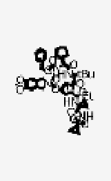 CC[C@H]1C[C@@]1(NC(=O)C1C[C@@H](OC(=O)N2Cc3cc4c(cc3C2)OCO4)CN1C(=O)[C@@H](NC(=O)[C@@H](NC(=O)OCc1ccccc1)C1CCCCC1)C(C)(C)C)C(=O)NS(=O)(=O)C1CC1